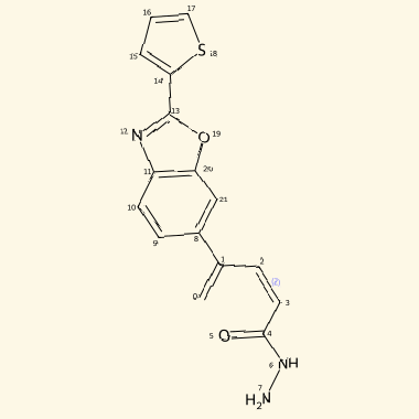 C=C(/C=C\C(=O)NN)c1ccc2nc(-c3cccs3)oc2c1